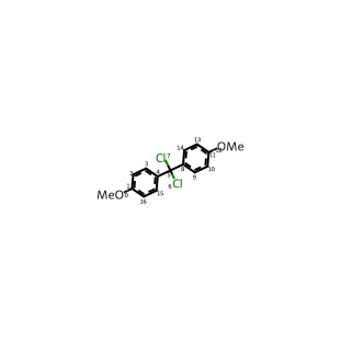 COc1ccc(C(Cl)(Cl)c2ccc(OC)cc2)cc1